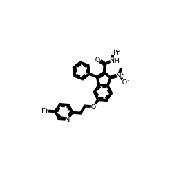 CCc1ccc(CCOc2ccc3c(c2)C(c2ccccc2)=C(C(=O)NC(C)C)/C3=[N+](\C)[O-])nc1